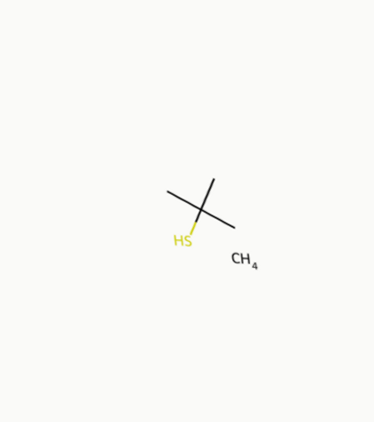 C.CC(C)(C)S